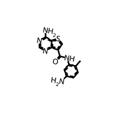 Cc1ccc(N)cc1NC(=O)c1csc2c(N)ncnc12